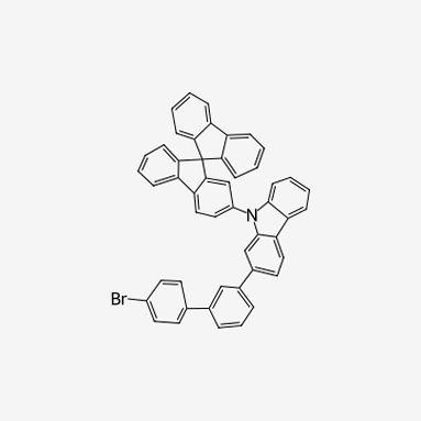 Brc1ccc(-c2cccc(-c3ccc4c5ccccc5n(-c5ccc6c(c5)C5(c7ccccc7-c7ccccc75)c5ccccc5-6)c4c3)c2)cc1